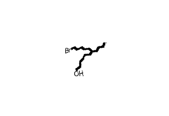 [CH2]CCCC(CCCCCBr)CCCCCCO